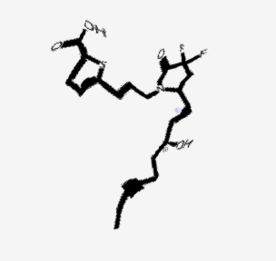 CCC#CCC[C@H](O)/C=C/C1CC(F)(F)C(=O)N1CCCc1ccc(C(=O)O)s1